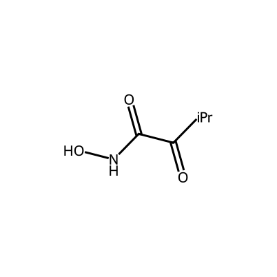 CC(C)C(=O)C(=O)NO